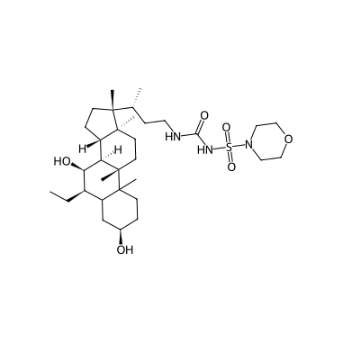 CC[C@@H]1C2C[C@H](O)CCC2(C)[C@@]2(C)CC[C@@]3(C)[C@@H](CC[C@]3(C)[C@H](C)CCNC(=O)NS(=O)(=O)N3CCOCC3)[C@@H]2[C@@H]1O